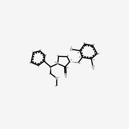 COC[C@@H](c1ccccc1)N1CC[C@H](Cc2c(Cl)cccc2Cl)C1=O